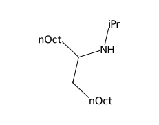 CCCCCCCCCC(CCCCCCCC)NC(C)C